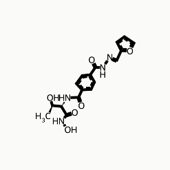 C[C@@H](O)[C@H](NC(=O)c1ccc(C(=O)NN=Cc2ccco2)cc1)C(=O)NO